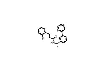 C[C@H](NC(=O)C=Cc1ccccc1F)c1cccc(-c2cnccn2)c1